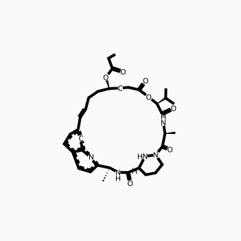 CCC(=O)O[C@@H]1CC/C=C/c2ccc3ccc(nc3c2)[C@@H](C)NC(=O)[C@@H]2CCCN(N2)C(=O)[C@H](C)NC(=O)[C@H](C(C)C)OC(=O)CC1